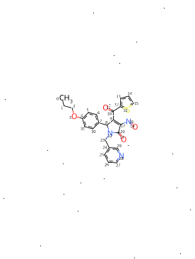 CCCOc1ccc(C2C(C(=O)c3cccs3)=C(N=O)C(=O)N2Cc2cccnc2)cc1